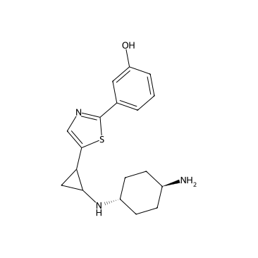 N[C@H]1CC[C@H](NC2CC2c2cnc(-c3cccc(O)c3)s2)CC1